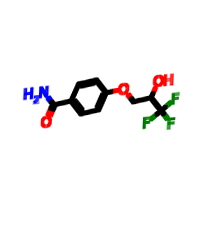 NC(=O)c1ccc(OCC(O)C(F)(F)F)cc1